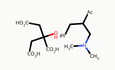 CC(=O)C(CC(C)C)CN(C)C.O=C(O)CC(O)(CC(=O)O)C(=O)O